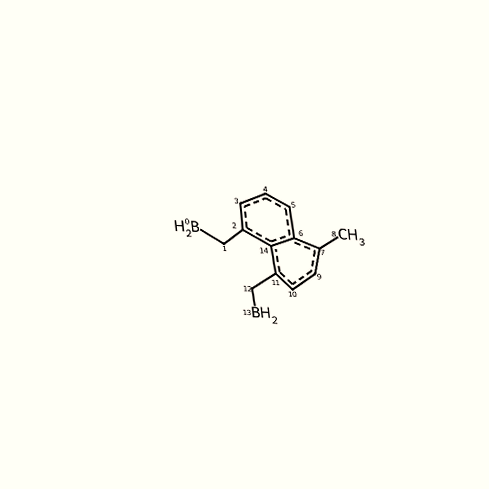 BCc1cccc2c(C)ccc(CB)c12